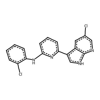 Clc1cnc2[nH]cc(-c3cccc(Nc4ccccc4Cl)n3)c2c1